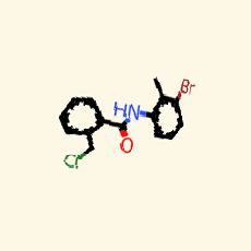 Cc1c(Br)cccc1NC(=O)c1ccccc1CCl